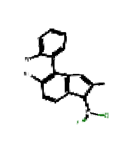 CCc1ccccc1-c1c(C(C)(C)C)ccc2c1C=C(C)[CH]2[Zr]([Cl])[Cl]